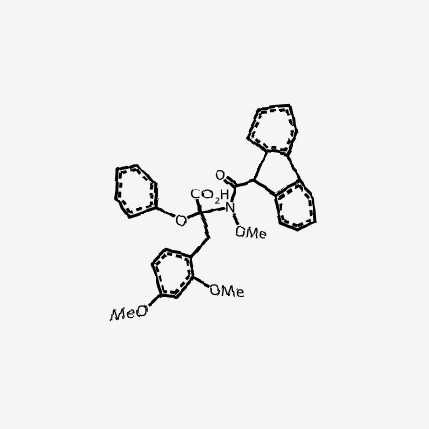 COc1ccc(CC(Oc2ccccc2)(C(=O)O)N(OC)C(=O)C2c3ccccc3-c3ccccc32)c(OC)c1